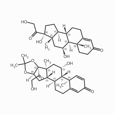 CC1(C)O[C@@H]2C[C@H]3[C@@H]4CCC5=CC(=O)C=C[C@]5(C)[C@H]4[C@@H](O)C[C@]3(C)[C@]2(C(=O)CO)O1.C[C@]12CCC(=O)C=C1CC[C@@H]1[C@@H]2[C@@H](O)C[C@@]2(C)[C@H]1CC[C@]2(O)C(=O)CO